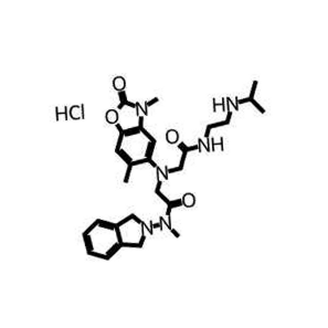 Cc1cc2oc(=O)n(C)c2cc1N(CC(=O)NCCNC(C)C)CC(=O)N(C)N1Cc2ccccc2C1.Cl